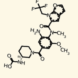 COc1cc(C(=O)N2CCC[C@@H](NC(=O)O)C2)cc(N)c1N(C)C(=O)c1cc2ccoc2n1CC(F)(F)F